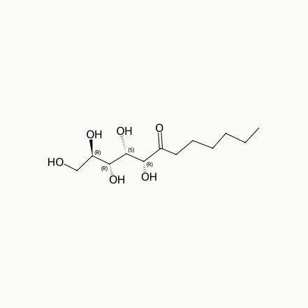 CCCCCCC(=O)[C@H](O)[C@@H](O)[C@H](O)[C@H](O)CO